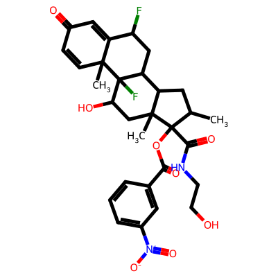 CC1CC2C3CC(F)C4=CC(=O)C=CC4(C)C3(F)C(O)CC2(C)C1(OC(=O)c1cccc([N+](=O)[O-])c1)C(=O)NCCO